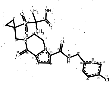 CC(C)(C(N)=O)S(=O)(=O)C1(CN2CCn3c(C(=O)NCc4ccc(Cl)cc4)ccc3C2=O)CC1